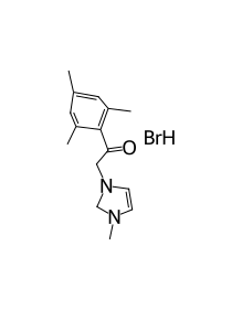 Br.Cc1cc(C)c(C(=O)CN2C=CN(C)C2)c(C)c1